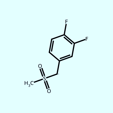 CS(=O)(=O)[CH]c1ccc(F)c(F)c1